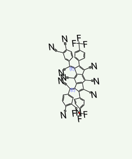 N#CC1=C(c2ccc(C(F)(F)F)cc2)/C(=C(/C#N)c2ccc(C#N)c(C#N)c2)c2c(C#N)c3c(c(C#N)c21)C(C#N)=C(c1ccc(C(F)(F)F)cc1)/C3=C(/C#N)c1ccc(C#N)c(C#N)c1